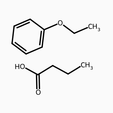 CCCC(=O)O.CCOc1ccccc1